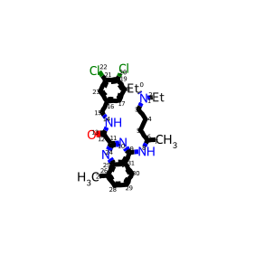 CCN(CC)CCCC(C)Nc1nc(C(=O)NCc2ccc(Cl)c(Cl)c2)nc2c(C)cccc12